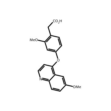 COc1ccc2nccc(Oc3ccc(CC(=O)O)c(OC)c3)c2c1